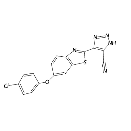 N#Cc1[nH]nnc1-c1nc2ccc(Oc3ccc(Cl)cc3)cc2s1